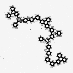 c1ccc(-c2nc(-c3ccc4c(c3)oc3cc(-c5cccc(-c6cccc(-c7ccc8c9ccccc9c9ccccc9c8c7)c6)c5)ccc34)nc(-c3ccc4c(c3)c3cc(-c5ccc6c7ccc(-c8cccc(-c9ccc%10c(c9)oc9cc(C%11=NC(c%12ccc%13c%14ccccc%14n(-c%14ccccc%14)c%13c%12)=NC(c%12ccccc%12)N%11)ccc9%10)c8)cc7c7ccccc7c6c5)ccc3n4-c3ccccc3)n2)cc1